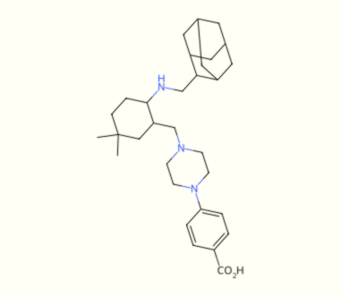 CC1(C)CCC(NCC2C3CC4CC(C3)CC2C4)C(CN2CCN(c3ccc(C(=O)O)cc3)CC2)C1